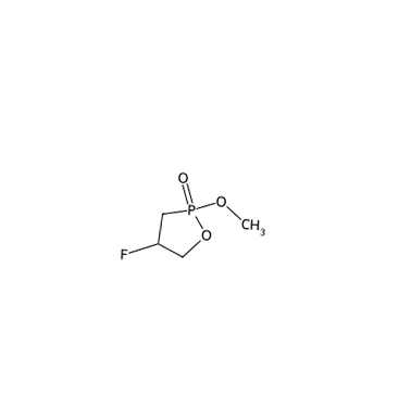 COP1(=O)CC(F)CO1